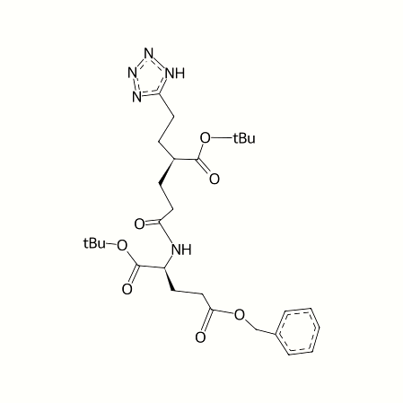 CC(C)(C)OC(=O)[C@@H](CCC(=O)N[C@@H](CCC(=O)OCc1ccccc1)C(=O)OC(C)(C)C)CCc1nnn[nH]1